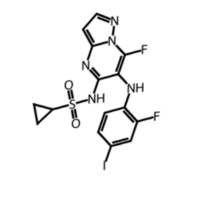 O=S(=O)(Nc1nc2ccnn2c(F)c1Nc1ccc(I)cc1F)C1CC1